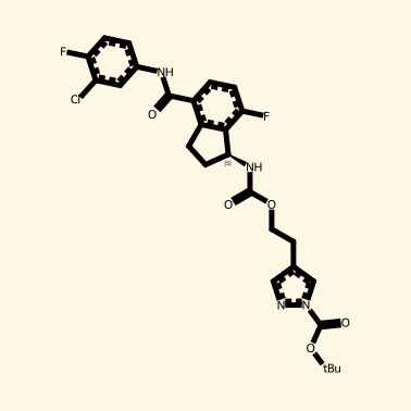 CC(C)(C)OC(=O)n1cc(CCOC(=O)N[C@H]2CCc3c(C(=O)Nc4ccc(F)c(Cl)c4)ccc(F)c32)cn1